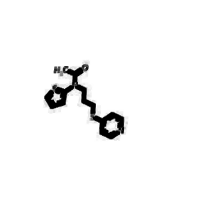 CC(=O)N(CCCSc1ccncc1)c1cccs1